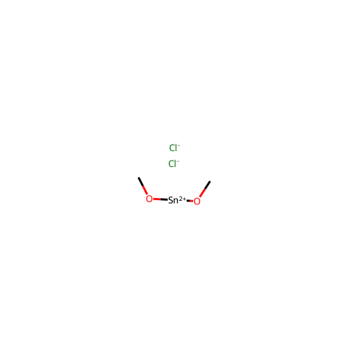 C[O][Sn+2][O]C.[Cl-].[Cl-]